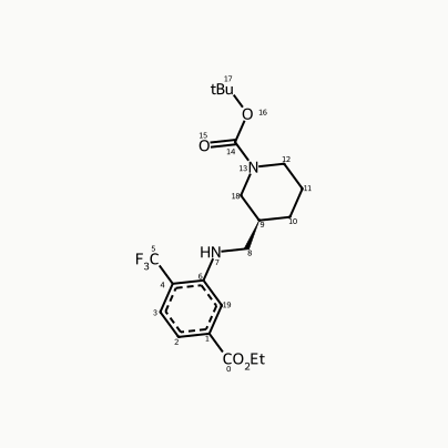 CCOC(=O)c1ccc(C(F)(F)F)c(NC[C@@H]2CCCN(C(=O)OC(C)(C)C)C2)c1